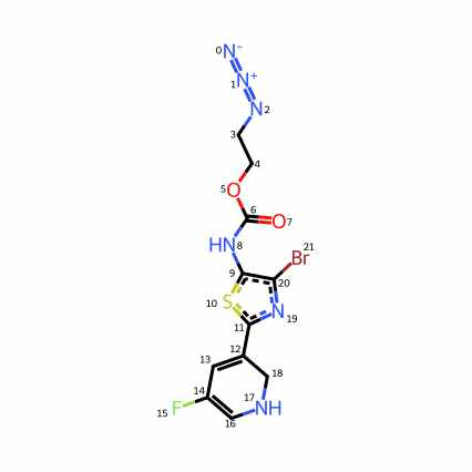 [N-]=[N+]=NCCOC(=O)Nc1sc(C2=CC(F)=CNC2)nc1Br